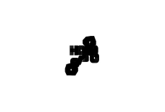 O=c1oc2ccccc2c(O)c1SCCOc1ccccc1